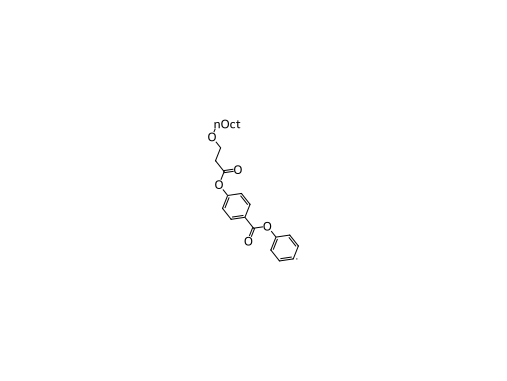 CCCCCCCCOCCC(=O)Oc1ccc(C(=O)Oc2cc[c]cc2)cc1